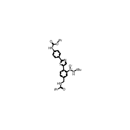 CC(C)OC(=O)Nc1ccc(-c2ncc(-c3ccc(CNC(=O)C(C)C)cc3[S+]([O-])NC(C)(C)C)s2)cc1